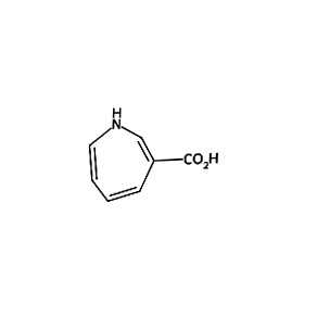 O=C(O)C1=CNC=CC=C1